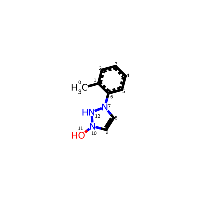 Cc1ccccc1N1C=CN(O)N1